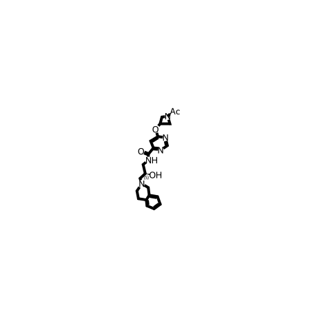 CC(=O)N1CC(Oc2cc(C(=O)NC[C@H](O)CN3CCc4ccccc4C3)ncn2)C1